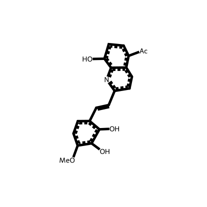 COc1ccc(C=Cc2ccc3c(C(C)=O)ccc(O)c3n2)c(O)c1O